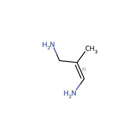 C/C(=C/N)CN